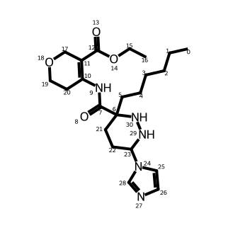 CCCCCCC1(C(=O)NC2=C(C(=O)OCC)COCC2)CCC(n2ccnc2)NN1